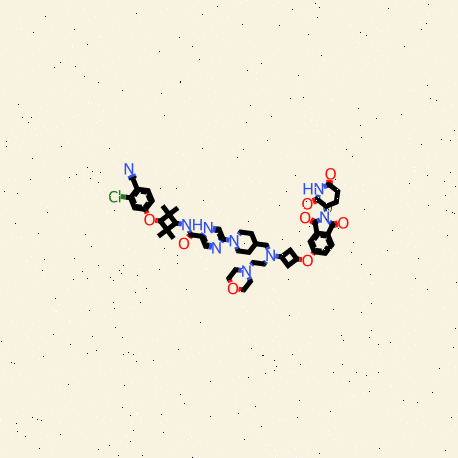 CC1(C)C(NC(=O)c2cnc(N3CCC(CN(CCN4CCOCC4)C4CC(Oc5ccc6c(c5)C(=O)N([C@@H]5CCC(=O)NC5=O)C6=O)C4)CC3)cn2)C(C)(C)C1Oc1ccc(C#N)c(Cl)c1